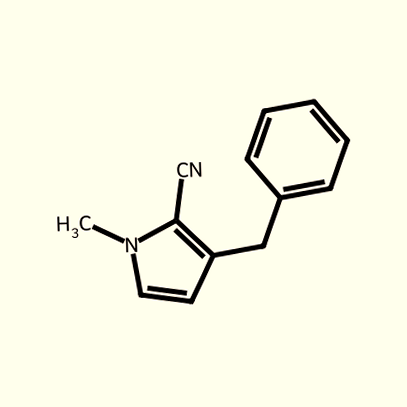 Cn1ccc(Cc2ccccc2)c1C#N